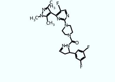 Cc1nn(C)c(C)c1-c1nc(N2CCN(C(=O)N3N=CCC3c3cc(F)cc(F)c3)CC2)ncc1F